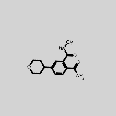 NC(=O)c1ccc(C2CCOCC2)cc1C(=O)NO